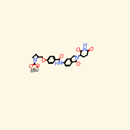 CC(C)(C)OC(=O)N1CCC1COc1ccc(C(=O)Nc2ccc3c(c2)CN(C2CCC(=O)NC2=O)C3=O)cc1